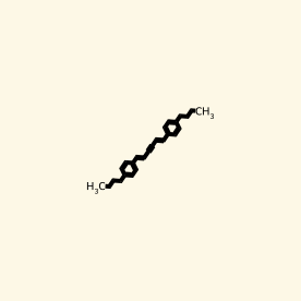 CCCCc1ccc(C=CC#CC=Cc2ccc(CCCC)cc2)cc1